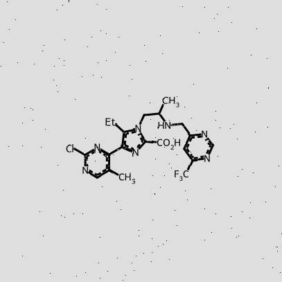 CCc1c(-c2nc(Cl)ncc2C)nc(C(=O)O)n1CC(C)NCc1cc(C(F)(F)F)ncn1